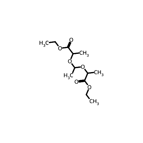 CCOC(=O)C(C)OC(C)OC(C)C(=O)OCC